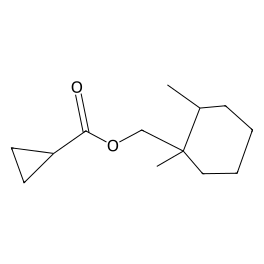 CC1CCCCC1(C)COC(=O)C1CC1